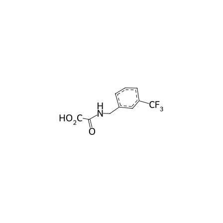 O=C(O)C(=O)NCc1cccc(C(F)(F)F)c1